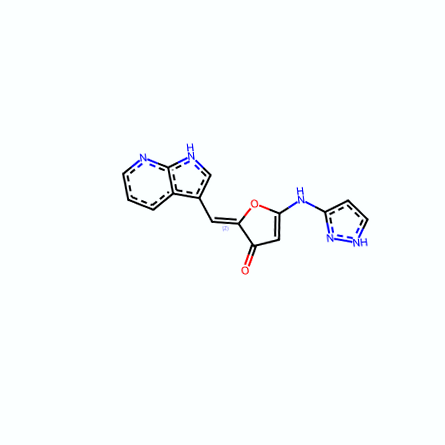 O=C1C=C(Nc2cc[nH]n2)O/C1=C\c1c[nH]c2ncccc12